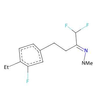 CCc1ccc(CC/C(=N\NC)C(F)F)cc1F